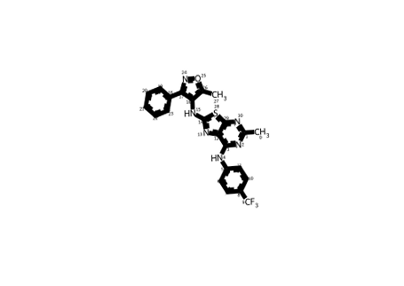 Cc1nc(Nc2ccc(C(F)(F)F)cc2)c2nc(Nc3c(-c4ccccc4)noc3C)sc2n1